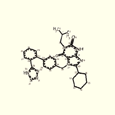 CC(C)Cn1c(=O)[nH]c2nc(C3CCCCC3)n(Cc3ccc(-c4ccccc4-c4nnn[nH]4)cc3)c2c1=O